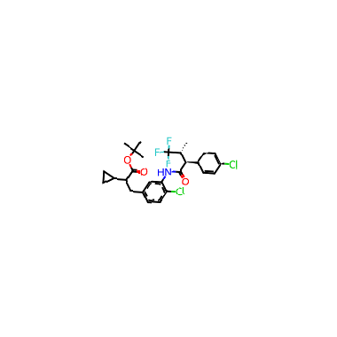 C[C@H]([C@H](C(=O)Nc1cc(CC(C(=O)OC(C)(C)C)C2CC2)ccc1Cl)C1C=CC(Cl)=CC1)C(F)(F)F